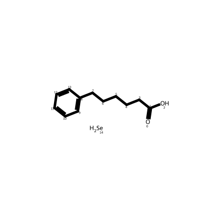 O=C(O)CCCCCc1ccccc1.[SeH2]